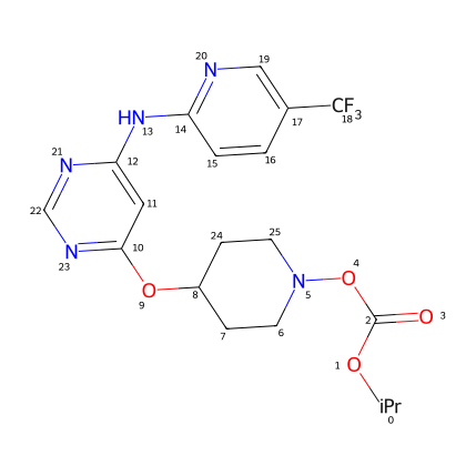 CC(C)OC(=O)ON1CCC(Oc2cc(Nc3ccc(C(F)(F)F)cn3)ncn2)CC1